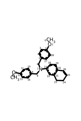 COc1ccc(CN(Cc2ccc(OC)cc2)c2ccc3c(c2)CCC=C3)cc1